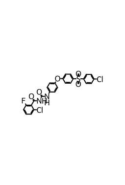 O=C(NC(=O)c1c(F)cccc1Cl)Nc1ccc(Oc2ccc(S(=O)(=O)c3ccc(Cl)cc3)cc2)cc1